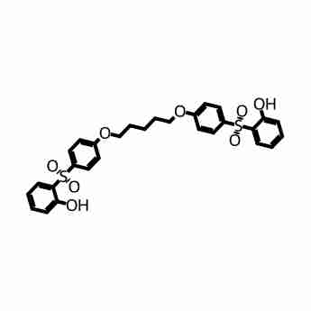 O=S(=O)(c1ccc(OCCCCCOc2ccc(S(=O)(=O)c3ccccc3O)cc2)cc1)c1ccccc1O